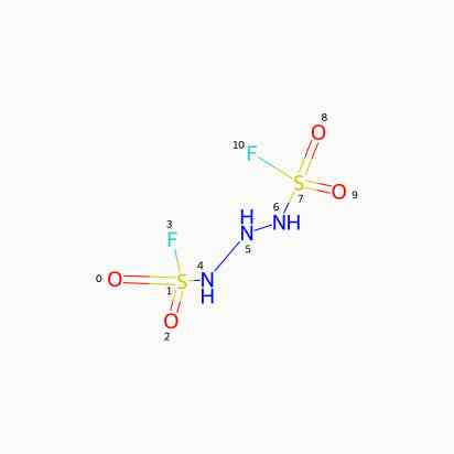 O=S(=O)(F)NNNS(=O)(=O)F